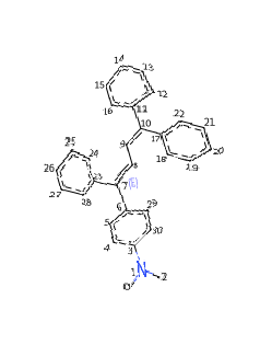 CN(C)c1ccc(/C(=C/C=C(c2ccccc2)c2ccccc2)c2ccccc2)cc1